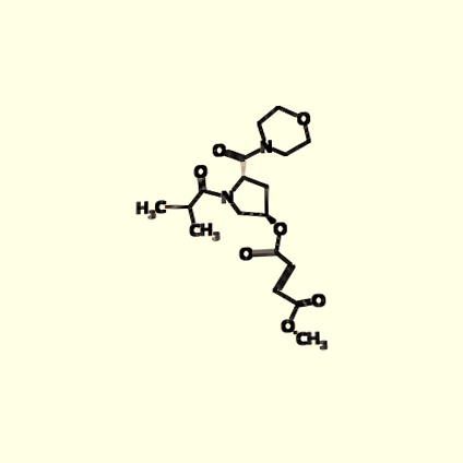 COC(=O)/C=C/C(=O)O[C@@H]1C[C@@H](C(=O)N2CCOCC2)N(C(=O)C(C)C)C1